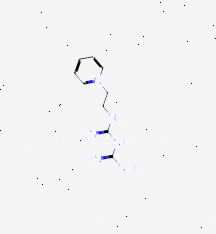 N=C(N)NC(=N)NCC[n+]1ccccc1